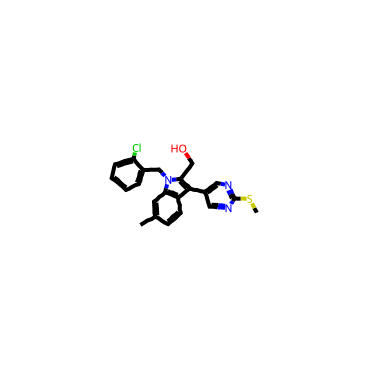 CSc1ncc(-c2c(CO)n(Cc3ccccc3Cl)c3cc(C)ccc23)cn1